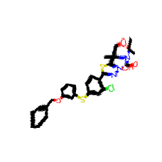 CC1(C)OCC(C)(c2nnc(-c3ccc(Sc4cccc(OCc5ccccc5)c4)cc3Cl)s2)N1C(=O)O